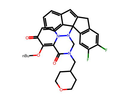 CCCCOc1c2n(ccc1=O)N(C13C(=Cc4ccccc41)Cc1cc(F)c(F)cc13)CN(CC1CCOCC1)C2=O